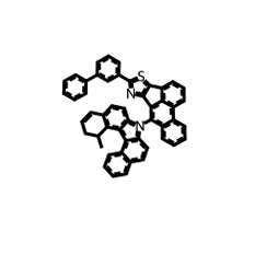 CC1CC=Cc2ccc3c(c21)c1c2ccccc2ccc1n3-c1c2c3c(cccc3c3ccccc13)-c1sc(-c3cccc(-c4ccccc4)c3)nc1-2